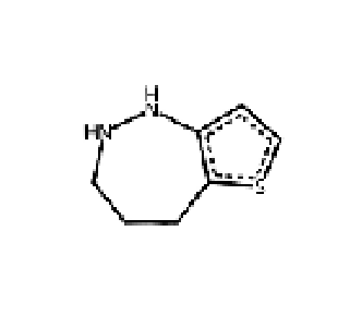 c1cc2c(s1)CCCNN2